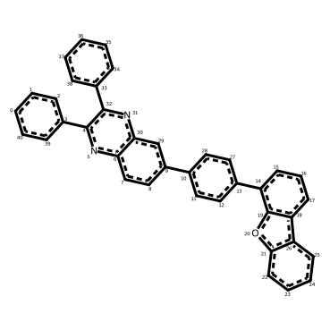 c1ccc(-c2nc3ccc(-c4ccc(-c5cccc6c5oc5ccccc56)cc4)cc3nc2-c2ccccc2)cc1